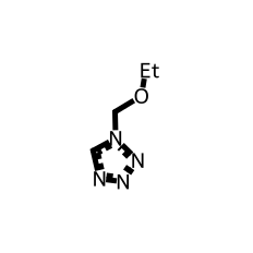 [CH2]COCn1cnnn1